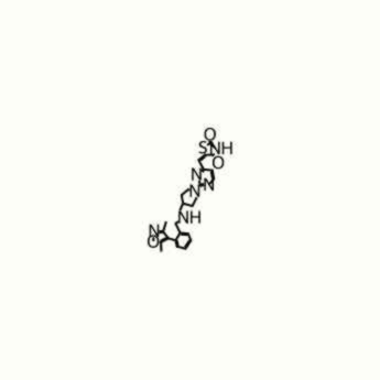 Cc1noc(C)c1-c1ccccc1CNCC1CCN(c2nccc(C=C3SC(=O)NC3=O)n2)CC1